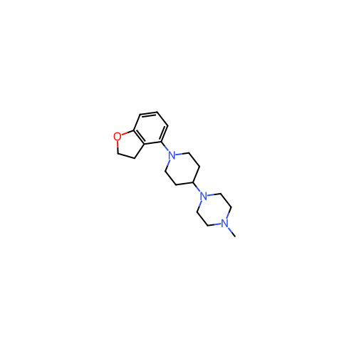 CN1CCN(C2CCN(c3cccc4c3CCO4)CC2)CC1